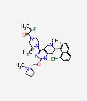 C=C(F)C(=O)N1CCN(c2nc(OC[C@@H]3CCCN3C)nc3c2CN(C)C(c2cccc4cccc(Cl)c24)C3)[C@@H](C)C1